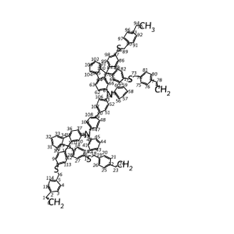 C=Cc1ccc(CSc2ccc(C3(c4ccc(SCc5ccc(C=C)cc5)cc4)c4ccccc4-c4ccc(N(c5ccccc5)c5ccc(-c6ccc(N(c7ccccc7)c7ccc8c(c7)C(c7ccc(SCc9ccc(C=C)cc9)cc7)(c7ccc(SCc9ccc(CC)cc9)cc7)c7ccccc7-8)cc6)cc5)cc43)cc2)cc1